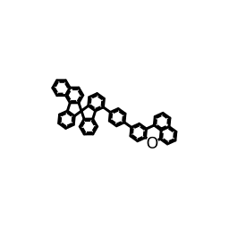 c1ccc2c(c1)-c1c(-c3ccc(-c4ccc5c(c4)-c4cccc6cccc(c46)O5)cc3)cccc1C21c2ccccc2-c2c1ccc1ccccc21